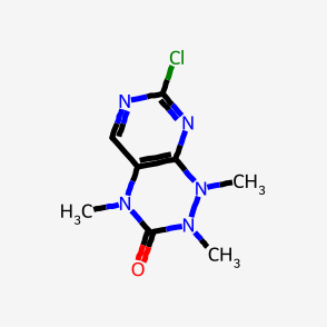 CN1C(=O)N(C)N(C)c2nc(Cl)ncc21